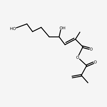 C=C(C)C(=O)OC(=O)C(C)=CC(O)CCCCO